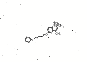 CC1=CC(C)(C)Nc2ccc(OCCCCCOc3ccccc3)cc21